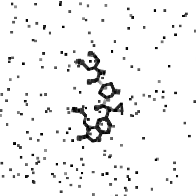 COCCN1C(=O)COc2ccc(N(C(=O)[C@H]3CNC[C@@H](C(=O)NC(CO)CC(C)C)C3)C3CC3)cc21